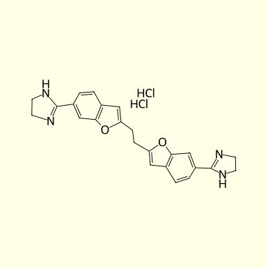 Cl.Cl.c1cc2cc(CCc3cc4ccc(C5=NCCN5)cc4o3)oc2cc1C1=NCCN1